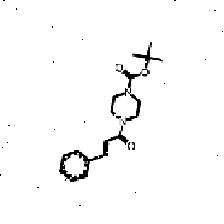 CC(C)(C)OC(=O)N1CCN(C(=O)C=Cc2ccccc2)CC1